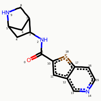 O=C(NC1CC2CC1CN2)c1cc2cnccc2s1